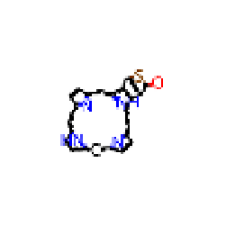 O=C1SC2C=CC1c1c2c2cc3nc(cc4ccc(cc5nc(cc1[nH]2)C=C5)[nH]4)C=C3